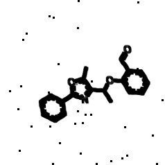 Cc1oc(-c2ccccc2)nc1C(C)Oc1ccccc1C=O